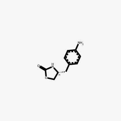 Nc1ccc(C[C@@H]2COC(=O)N2)cc1